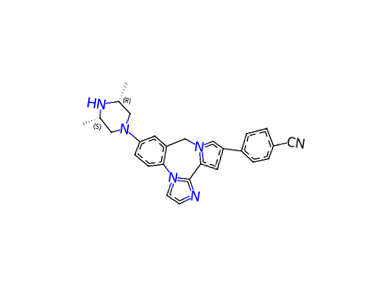 C[C@@H]1CN(c2ccc3c(c2)Cn2cc(-c4ccc(C#N)cc4)cc2-c2nccn2-3)C[C@H](C)N1